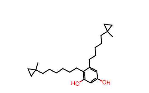 CC1(CCCCCCc2c(O)cc(O)cc2CCCCCC2(C)CC2)CC1